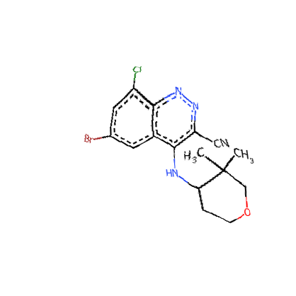 CC1(C)COCCC1Nc1c(C#N)nnc2c(Cl)cc(Br)cc12